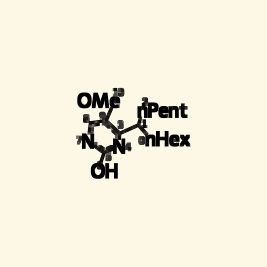 CCCCCCC(CCCCC)c1nc(O)ncc1OC